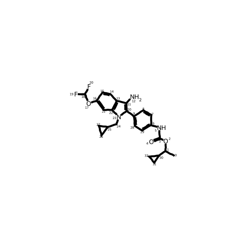 CC(OC(=O)Nc1ccc(-c2c(N)c3ccc(OC(F)F)cc3n2CC2CC2)cc1)C1CC1